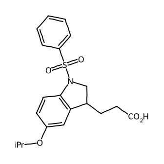 CC(C)Oc1ccc2c(c1)C(CCC(=O)O)CN2S(=O)(=O)c1ccccc1